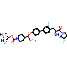 CC(C)OC(=O)N1CCC([C@H](C)Oc2ccc(-c3ccc(CC(N)C(=O)N4CC[C@H](F)C4)c(F)c3)cc2)CC1